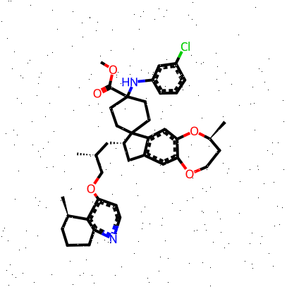 COC(=O)C1(Nc2cccc(Cl)c2)CCC2(CC1)c1cc3c(cc1C[C@@H]2C[C@@H](C)COc1ccnc2c1[C@H](C)CCC2)OCC[C@H](C)O3